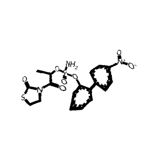 CC(OP(N)(=O)Oc1ccccc1-c1ccc([N+](=O)[O-])cc1)C(=O)N1CCSC1=O